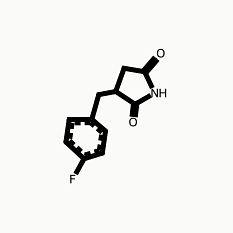 O=C1CC(Cc2ccc(F)cc2)C(=O)N1